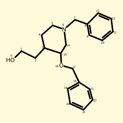 OCCC1CCN(Cc2ccccc2)CC1OCc1ccccc1